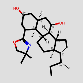 CC[C@@H](C)[C@H]1CC[C@H]2[C@@H]3[C@H](O)C[C@@H]4C[C@H](O)CC(C5=NC(C)(C)CO5)[C@]4(C)[C@H]3CC[C@]12C